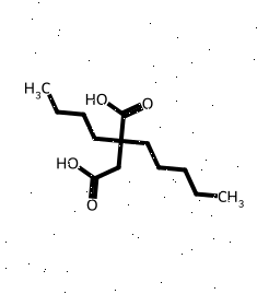 CCCCCC(CCCC)(CC(=O)O)C(=O)O